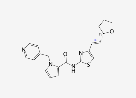 O=C(Nc1nc(/C=C/[C@@H]2CCCO2)cs1)c1cccn1Cc1ccncc1